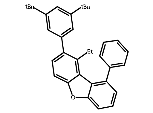 CCc1c(-c2cc(C(C)(C)C)cc(C(C)(C)C)c2)ccc2oc3cccc(-c4ccccc4)c3c12